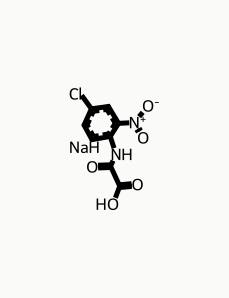 O=C(O)C(=O)Nc1ccc(Cl)cc1[N+](=O)[O-].[NaH]